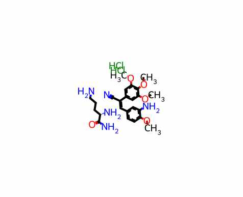 COc1ccc(/C=C(/C#N)c2cc(OC)c(OC)c(OC)c2)cc1N.Cl.Cl.NCCC[C@H](N)C(N)=O